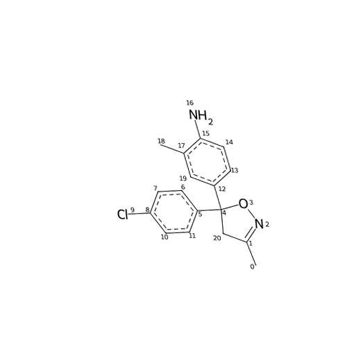 CC1=NOC(c2ccc(Cl)cc2)(c2ccc(N)c(C)c2)C1